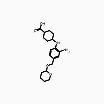 Nc1cc(COC2CCCCO2)ccc1NC1CCC(C(=O)O)CC1